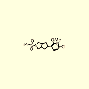 COc1nc(Cl)ccc1C1CC2CN(S(=O)(=O)C(C)C)CC2C1